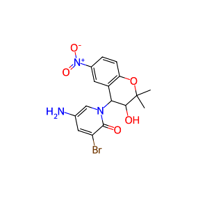 CC1(C)Oc2ccc([N+](=O)[O-])cc2C(n2cc(N)cc(Br)c2=O)C1O